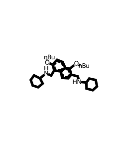 CCCCOc1ccc2c(OCCCC)c(CNC3CCCCC3)ccc2c1CNC1CCCCC1